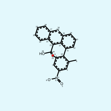 Cc1cc([N+](=O)[O-])cc(C)c1-c1cccc2nc3ccccc3c(C(=O)O)c12